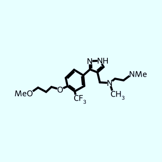 CNCCN(C)Cc1c[nH]nc1-c1ccc(OCCCOC)c(C(F)(F)F)c1